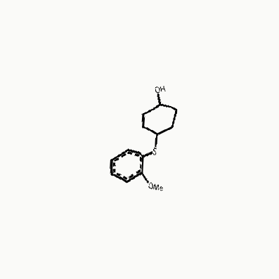 COc1ccccc1SC1CCC(O)CC1